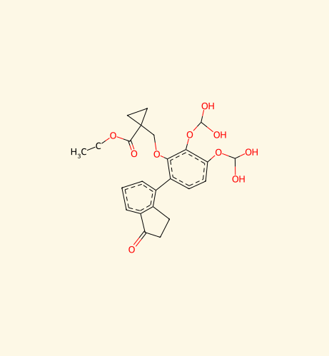 CCOC(=O)C1(COc2c(-c3cccc4c3CCC4=O)ccc(OC(O)O)c2OC(O)O)CC1